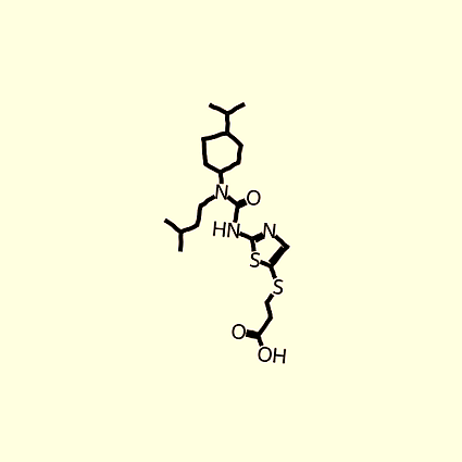 CC(C)CCN(C(=O)Nc1ncc(SCCC(=O)O)s1)C1CCC(C(C)C)CC1